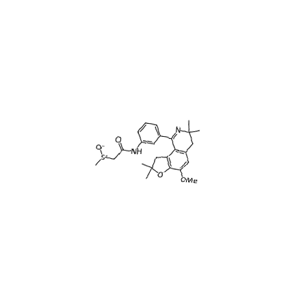 COc1cc2c(c3c1OC(C)(C)C3)C(c1cccc(NC(=O)C[S+](C)[O-])c1)=NC(C)(C)C2